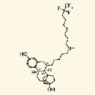 CN(CCCCC[C@@H]1Cc2cc(O)ccc2[C@H]2CC[C@]3(C)C4(O)CCC3(CC4)[C@H]12)CCCSCCCC(F)(F)C(F)(F)F